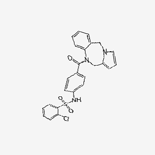 O=C(c1ccc(NS(=O)(=O)c2ccccc2Cl)cc1)N1Cc2cccn2Cc2ccccc21